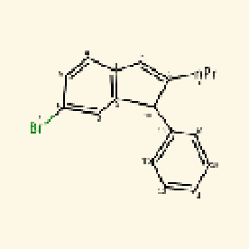 CCCC1=Cc2ccc(Br)cc2C1c1ccccc1